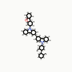 Cc1ccccc1-c1ccc(-n2c3ccccc3c3cc(-c4ccc5c(c4)c4ccccc4n5-c4ccc5c(c4)oc4ccccc45)ccc32)cc1C